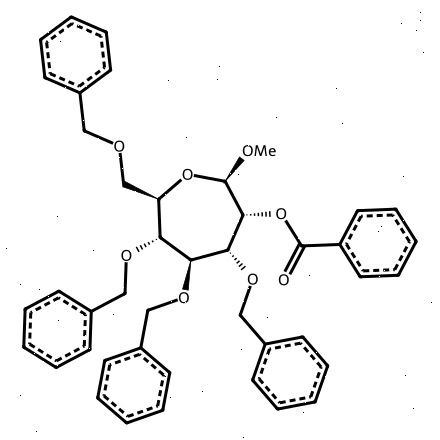 CO[C@@H]1O[C@H](COCc2ccccc2)[C@@H](OCc2ccccc2)[C@H](OCc2ccccc2)[C@@H](OCc2ccccc2)[C@H]1OC(=O)c1ccccc1